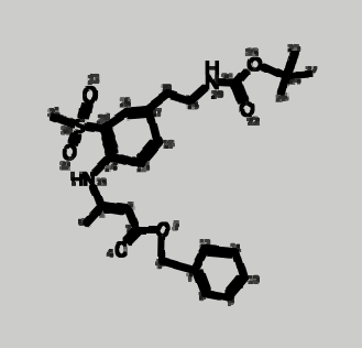 C/C(=C\C(=O)OCc1ccccc1)Nc1ccc(CCNC(=O)OC(C)(C)C)cc1S(C)(=O)=O